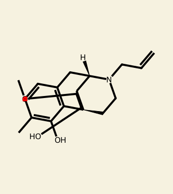 C=CCN1CC[C@@]23CC(O)C(OC)CC2[C@@H]1Cc1ccc(C)c(O)c13